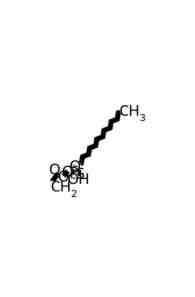 C=CC(=O)OOP(O)(=S)OCCCCCCCCCCCCC